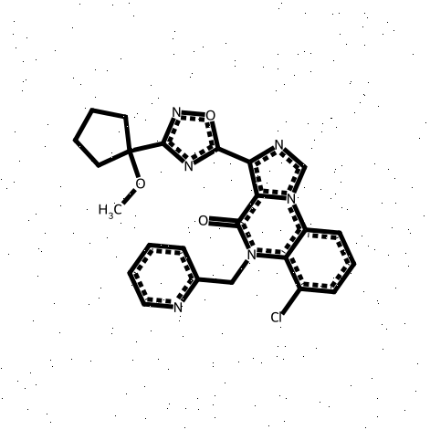 COC1(c2noc(-c3ncn4c3c(=O)n(Cc3ccccn3)c3c(Cl)cccc34)n2)CCCC1